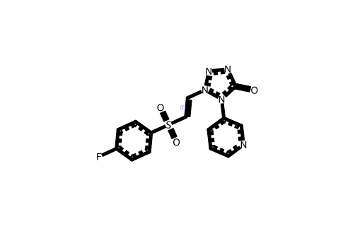 O=c1nnn(/C=C/S(=O)(=O)c2ccc(F)cc2)n1-c1cccnc1